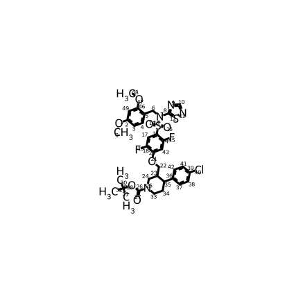 COc1ccc(CN(c2ncns2)S(=O)(=O)c2cc(F)c(OCC3CN(C(=O)OC(C)(C)C)CCC3c3ccc(Cl)cc3)cc2F)c(OC)c1